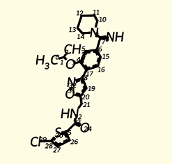 CC(C)Oc1cc(C(=N)N2CCCCC2)ccc1-c1cc(CNC(=O)c2ccc(Cl)s2)on1